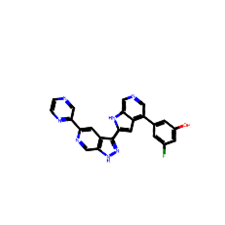 Oc1cc(F)cc(-c2cncc3[nH]c(-c4n[nH]c5cnc(-c6cnccn6)cc45)cc23)c1